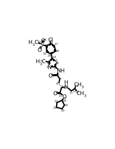 Cc1nc(NC(=O)CC[C@H](NCC(C)C)C(=O)OC2CCCC2)sc1-c1ccc(Cl)c(S(C)(=O)=O)c1